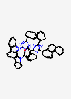 c1ccc(C2=NC(c3ccccc3)NC(n3c4ccccc4c4ccc5c6ccccc6n(-c6ccc(-c7nc(-c8ccccc8)nc(-c8cccc9c8ccc8ccccc89)n7)cc6)c5c43)=N2)cc1